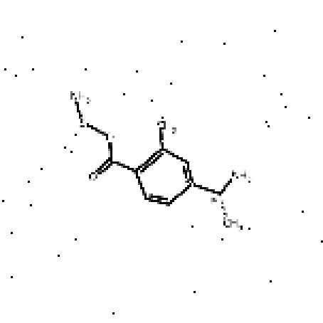 Cc1cc([C@@H](C)N)ccc1C(=O)OSN